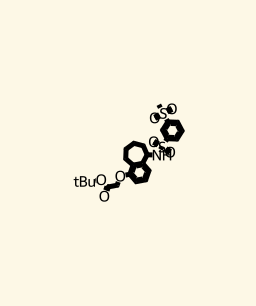 CC(C)(C)OC(=O)COc1cccc2c1CCCCC2NS(=O)(=O)c1cccc(S(C)(=O)=O)c1